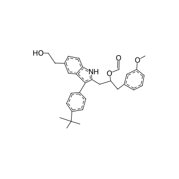 COc1cccc(CC(Cc2[nH]c3ccc(CCO)cc3c2-c2ccc(C(C)(C)C)cc2)OC=O)c1